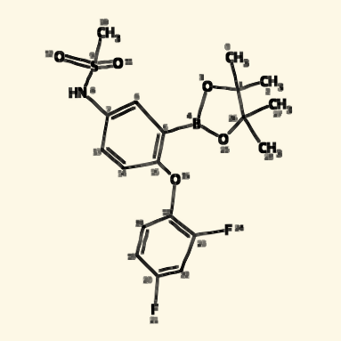 CC1(C)OB(c2cc(NS(C)(=O)=O)ccc2Oc2ccc(F)cc2F)OC1(C)C